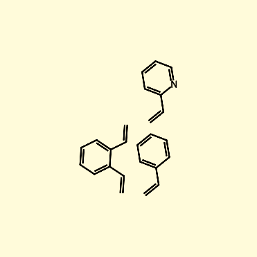 C=Cc1ccccc1.C=Cc1ccccc1C=C.C=Cc1ccccn1